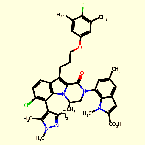 Cc1cc(N2C[C@@H](C)n3c(c(CCCOc4cc(C)c(Cl)c(C)c4)c4ccc(Cl)c(-c5c(C)nn(C)c5C)c43)C2=O)c2c(c1)cc(C(=O)O)n2C